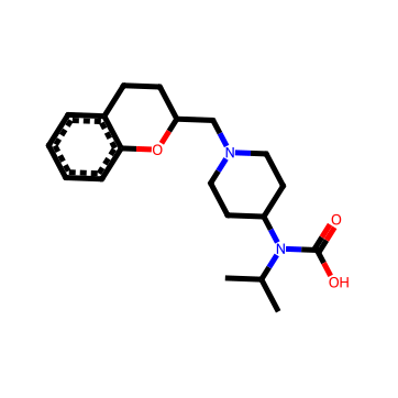 CC(C)N(C(=O)O)C1CCN(CC2CCc3ccccc3O2)CC1